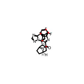 O=C(c1nc2ccccc2o1)N1C2CC[C@@H]1CC[C@@H]2c1cc(C(F)F)nc2ncnn12